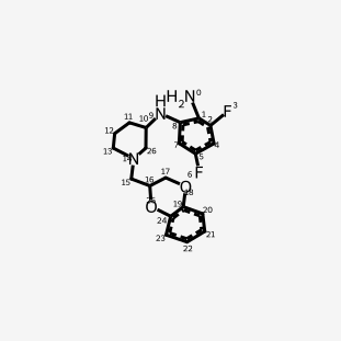 Nc1c(F)cc(F)cc1NC1CCCN(CC2COc3ccccc3O2)C1